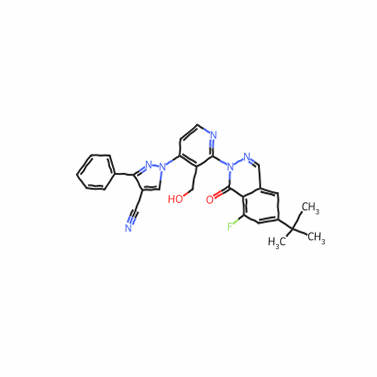 CC(C)(C)c1cc(F)c2c(=O)n(-c3nccc(-n4cc(C#N)c(-c5ccccc5)n4)c3CO)ncc2c1